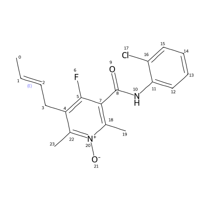 C/C=C/Cc1c(F)c(C(=O)Nc2ccccc2Cl)c(C)[n+]([O-])c1C